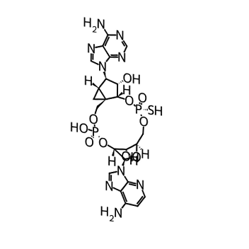 Nc1ncnc2c1ncn2[C@H]1[C@H](O)[C@@H]2O[P@](=O)(S)OC[C@H]3O[C@@H](n4cnc5c(N)ccnc54)[C@H](OP(=O)(O)OC[C@]24C[C@H]14)[C@@H]3O